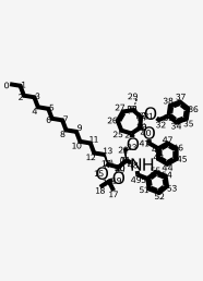 CCCCCCCCCCCCCC[C@@H]1OC(C)(C)O[C@@H]1[C@@H](COC1CC=C[C@H](C)[C@H](OCc2ccccc2)[C@H]1OCc1ccccc1)NCc1ccccc1